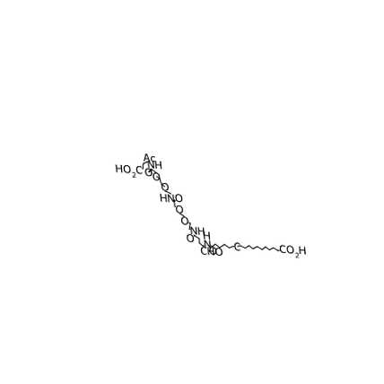 CC(=O)[C@H](CCC(=O)O)NC(=O)COCCOCCNC(=O)COCCOCCNC(=O)CC[C@@H](C=O)NC(=O)CCCCCCCCCCCCCCCCC(=O)O